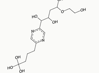 OCCOC(O)CC(O)C(O)c1cnc(CCCC(O)(O)O)cn1